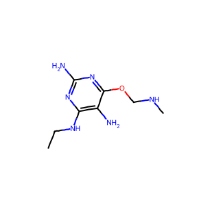 CCNc1nc(N)nc(OCNC)c1N